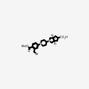 COC(=O)c1ccc(N2CCC(N3C[C@H]4CC(C(=O)O)C[C@H]4C3)CC2)cc1CBr